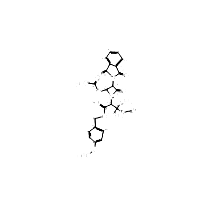 COc1ccc(COC(=O)C(N2C(=O)C(N3C(=O)c4ccccc4C3=O)C2OC(C)=O)C(C)(C)SBr)cc1